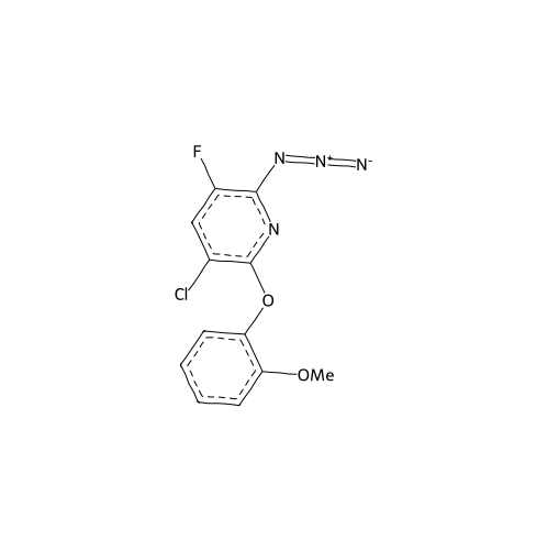 COc1ccccc1Oc1nc(N=[N+]=[N-])c(F)cc1Cl